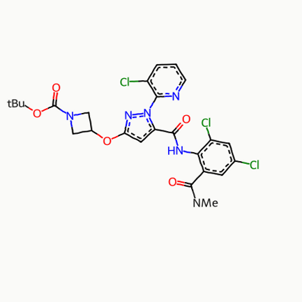 CNC(=O)c1cc(Cl)cc(Cl)c1NC(=O)c1cc(OC2CN(C(=O)OC(C)(C)C)C2)nn1-c1ncccc1Cl